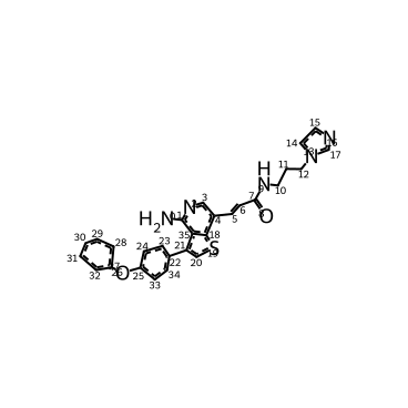 Nc1ncc(C=CC(=O)NCCCn2ccnc2)c2scc(-c3ccc(Oc4ccccc4)cc3)c12